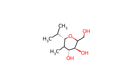 CC(C)[C@@H]1OC(CO)[C@@H](O)[C@H](O)C1C